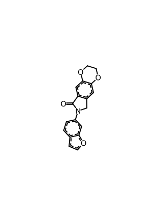 O=C1c2cc3c(cc2CN1c1ccc2ccoc2c1)OCCO3